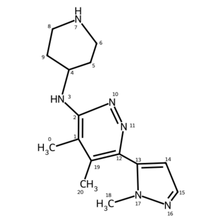 Cc1c(NC2CCNCC2)nnc(-c2ccnn2C)c1C